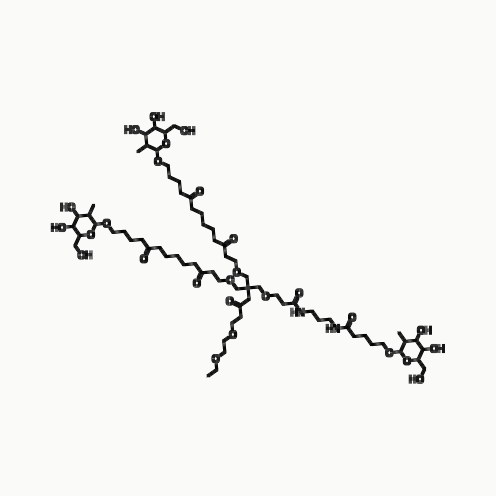 CCOCCOCCC(=O)CC(COCCC(=O)CCCCCC(=O)CCCCOC1OC(CO)C(O)C(O)C1C)(COCCC(=O)CCCCCC(=O)CCCCOC1OC(CO)C(O)C(O)C1C)COCCC(=O)NCCCNC(=O)CCCCOC1OC(CO)C(O)C(O)C1C